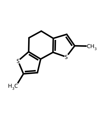 Cc1cc2c(s1)CCc1cc(C)sc1-2